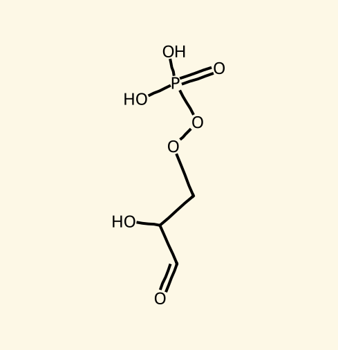 O=CC(O)COOP(=O)(O)O